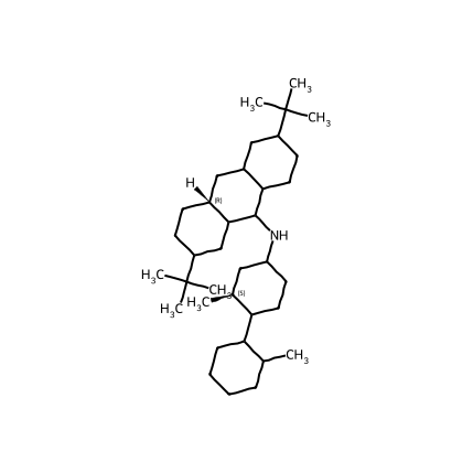 CC1CCCCC1C1CCC(NC2C3CCC(C(C)(C)C)CC3C[C@H]3CCC(C(C)(C)C)CC23)C[C@@H]1C